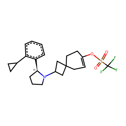 O=S(=O)(OC1=CCC2(CC1)CC(N1CCC[C@H]1c1ccccc1C1CC1)C2)C(F)(F)F